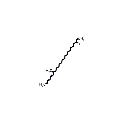 C=C/C=C/C=C/C(=C)CCCCCCCCCCCCCCC(=O)C=C